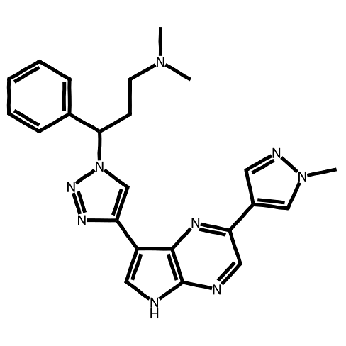 CN(C)CCC(c1ccccc1)n1cc(-c2c[nH]c3ncc(-c4cnn(C)c4)nc23)nn1